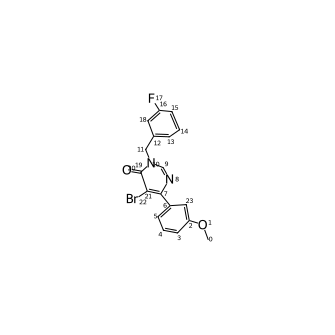 COc1cccc(-c2ncn(Cc3cccc(F)c3)c(=O)c2Br)c1